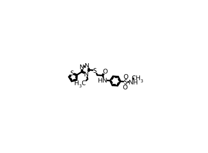 CCn1c(SCC(=O)Nc2ccc(S(=O)(=O)NC)cc2)nnc1-c1cccs1